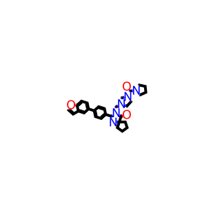 O=C(N1CCCC1)N1CCN(CN2C(=O)C3(CCCC3)N=C2c2ccc(-c3ccc4occc4c3)cc2)C1